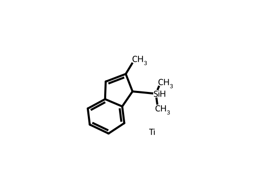 CC1=Cc2ccccc2C1[SiH](C)C.[Ti]